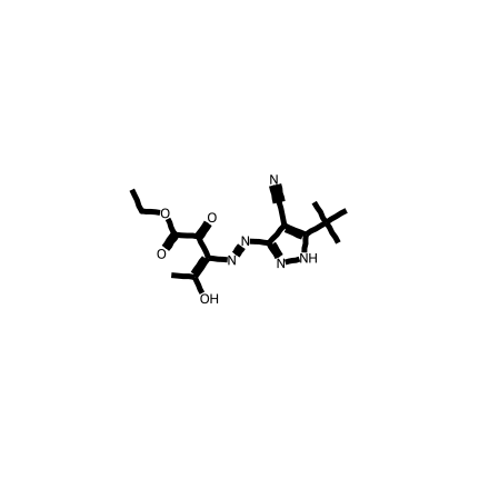 CCOC(=O)C(=O)C(/N=N/c1n[nH]c(C(C)(C)C)c1C#N)=C(\C)O